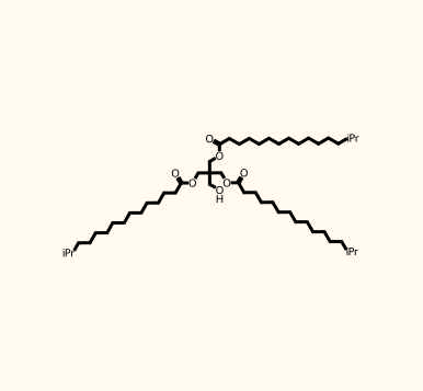 CC(C)CCCCCCCCCCCCC(=O)OCC(CO)(COC(=O)CCCCCCCCCCCCC(C)C)COC(=O)CCCCCCCCCCCCC(C)C